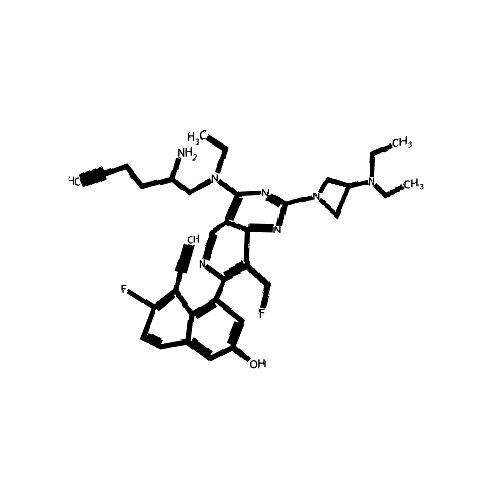 C#CCCC(N)CN(CC)c1nc(N2CC(N(CC)CC)C2)nc2c(CF)c(-c3cc(O)cc4ccc(F)c(C#C)c34)ncc12